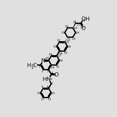 Cc1cc(C(=O)NCc2ccccc2)c2ccc(-c3ccc([C@H]4CC[C@H](CC(=O)O)CC4)cc3)cc2n1